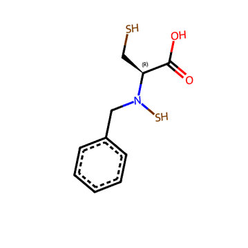 O=C(O)[C@H](CS)N(S)Cc1ccccc1